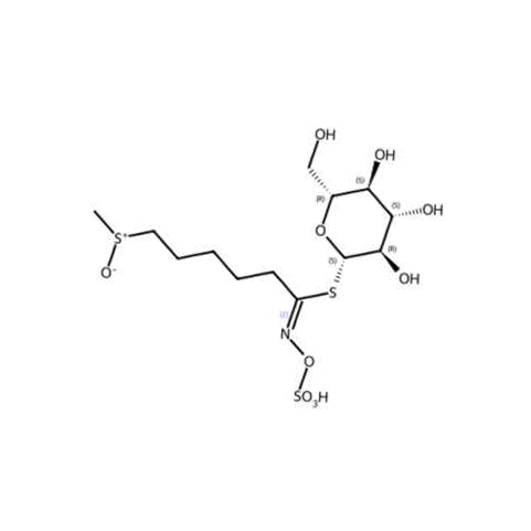 C[S+]([O-])CCCCC/C(=N/OS(=O)(=O)O)S[C@@H]1O[C@H](CO)[C@@H](O)[C@H](O)[C@H]1O